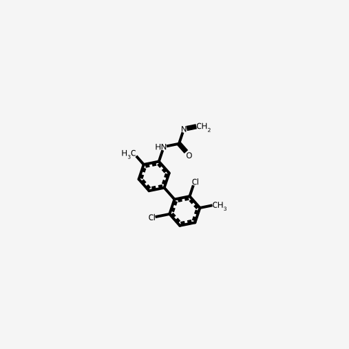 C=NC(=O)Nc1cc(-c2c(Cl)ccc(C)c2Cl)ccc1C